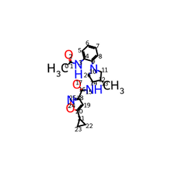 CC(=O)Nc1ccccc1N1C[C@@H](C)[C@H](NC(=O)c2cc(C3CC3)on2)C1